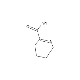 CCCC(=O)C1=NCCCC1